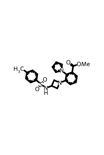 COC(=O)c1cccc(N2CC(NS(=O)(=O)c3ccc(C)cc3)C2)c1-n1cccc1